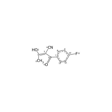 C/C(O)=C(/C#N)C(=O)c1ccc(F)cc1